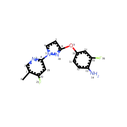 Cc1cnc(-n2ccc(Oc3ccc(N)c(F)c3)n2)cc1F